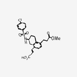 COC(=O)CCc1ccc(C=CC(=O)O)c2c1CCC(NS(=O)(=O)c1ccc(Cl)cc1)C2